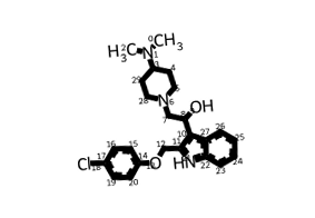 CN(C)C1CCN(CC(O)c2c(COc3ccc(Cl)cc3)[nH]c3ccccc23)CC1